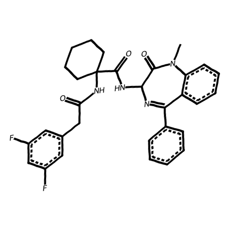 CN1C(=O)C(NC(=O)C2(NC(=O)Cc3cc(F)cc(F)c3)CCCCC2)N=C(c2ccccc2)c2ccccc21